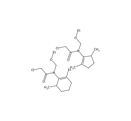 CCOCN(C(=O)CCl)C1=C(C)CCC1C.CCOCN(C(=O)CCl)C1=C(CC)CCCC1C